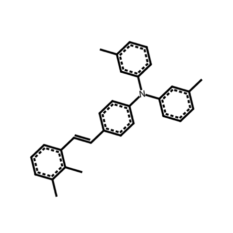 Cc1cccc(N(c2ccc(C=Cc3cccc(C)c3C)cc2)c2cccc(C)c2)c1